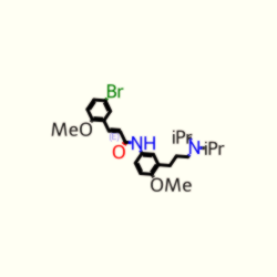 COc1ccc(Br)cc1/C=C/C(=O)Nc1ccc(OC)c(CCCN(C(C)C)C(C)C)c1